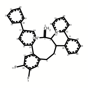 C=C1C2C(CCc3cc(F)c(F)cc3-c3ccc(-c4ccccc4)c[n+]31)c1ccccc1-c1cccc[n+]12